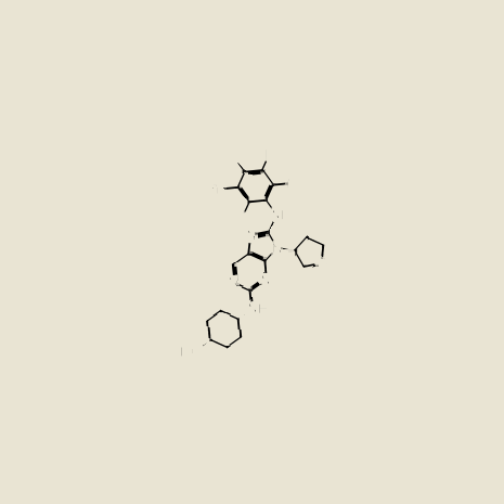 [2H]c1c(F)c([2H])c(F)c(Nc2nc3cnc(N[C@H]4CC[C@H](O)CC4)nc3n2[C@H]2CCOC2)c1F